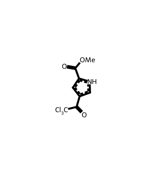 COC(=O)c1cc(C(=O)C(Cl)(Cl)Cl)c[nH]1